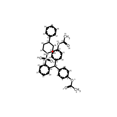 CC(=O)Oc1ccc(C(c2ccc(OC(C)=O)cc2)c2ccccc2S(=O)(=O)N2CCC(c3ccccc3)CC2)cc1